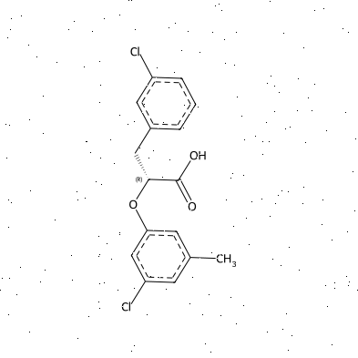 Cc1cc(Cl)cc(O[C@H](Cc2cccc(Cl)c2)C(=O)O)c1